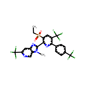 CCS(=O)(=O)c1cc(C(F)(F)F)c(-c2ccc(C(F)(F)F)cc2)nc1-c1nc2cc(C(F)(F)F)ncc2n1C